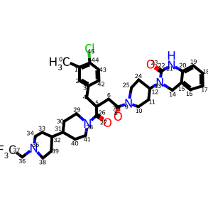 Cc1cc(CC(CC(=O)N2CCC(N3Cc4ccccc4NC3=O)CC2)C(=O)N2CCC(C3CCN(CC(F)(F)F)CC3)CC2)ccc1Cl